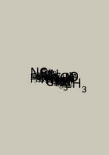 CCc1nc2sc(N3CCCC(N(C)C(=O)N4CCOCC4)C3)nn2c1N(C)c1nc(-c2ccc(F)cc2)c(C#N)s1